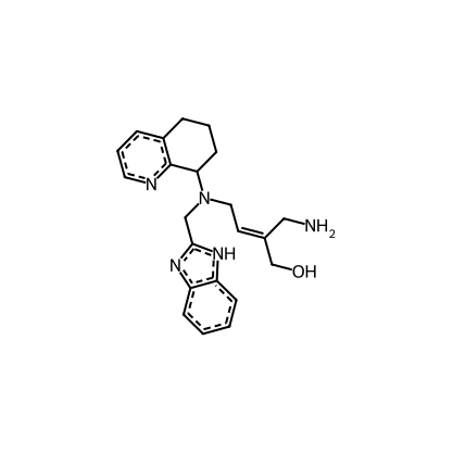 NC/C(=C\CN(Cc1nc2ccccc2[nH]1)C1CCCc2cccnc21)CO